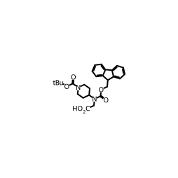 CC(C)(C)OC(=O)N1CCC(N(CC(=O)O)C(=O)OCC2c3ccccc3-c3ccccc32)CC1